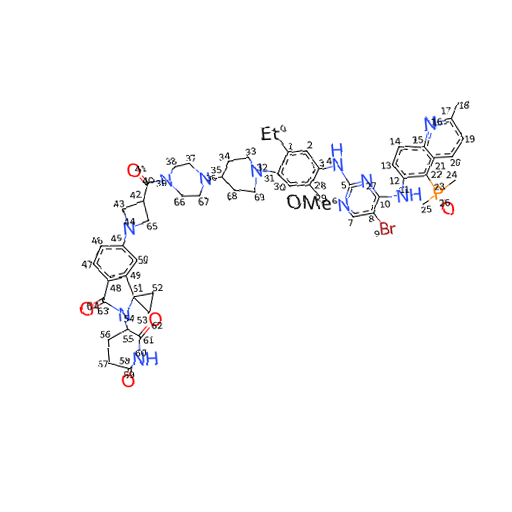 CCc1cc(Nc2ncc(Br)c(Nc3ccc4nc(C)ccc4c3P(C)(C)=O)n2)c(OC)cc1N1CCC(N2CCN(C(=O)C3CN(c4ccc5c(c4)C4(CC4)N(C4CCC(=O)NC4=O)C5=O)C3)CC2)CC1